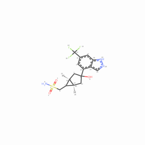 NS(=O)(=O)CC1[C@H]2CC(O)(c3cc(C(F)(F)F)cc4[nH]ncc34)C[C@@H]12